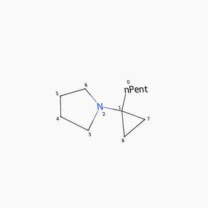 CCCCCC1(N2CCCC2)CC1